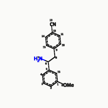 COc1cccc(C(N)Cc2ccc(C#N)cc2)c1